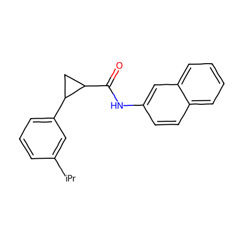 CC(C)c1cccc(C2CC2C(=O)Nc2ccc3ccccc3c2)c1